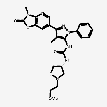 COCCN1C[C@@H](NC(=O)Nc2c(C)c(-c3cnc4c(c3)oc(=O)n4C)nn2-c2ccccc2)CO1